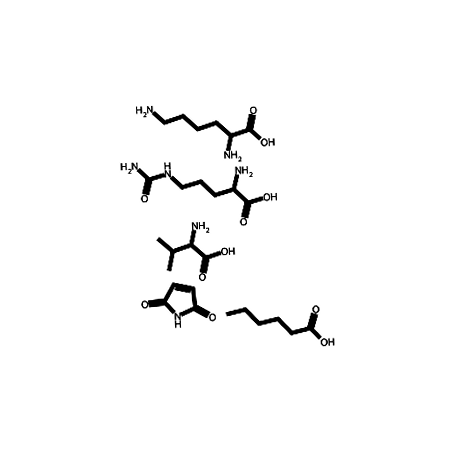 CC(C)C(N)C(=O)O.CCCCCC(=O)O.NC(=O)NCCCC(N)C(=O)O.NCCCCC(N)C(=O)O.O=C1C=CC(=O)N1